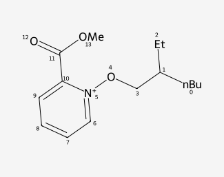 CCCCC(CC)CO[n+]1ccccc1C(=O)OC